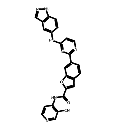 N#Cc1cnccc1NC(=O)c1cc2ccc(-c3nccc(Nc4ccc5[nH]ncc5c4)n3)cc2o1